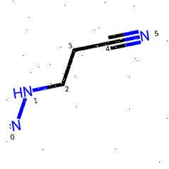 [N]NCCC#N